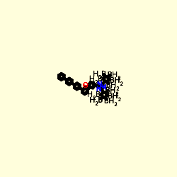 Bc1c(B)c(B)c(-c2nc(-c3ccc4oc5c(-c6ccc(-c7ccc(-c8ccccc8)cc7)cc6)cccc5c4c3)nc(-c3c(B)c(B)c(B)c(B)c3B)n2)c(B)c1B